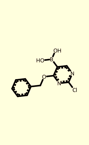 OB(O)c1cnc(Cl)nc1OCc1ccccc1